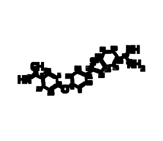 CC(=N)c1ccc(Oc2ccc(-c3cc4cc(C(=N)N)ccc4s3)cc2)cc1